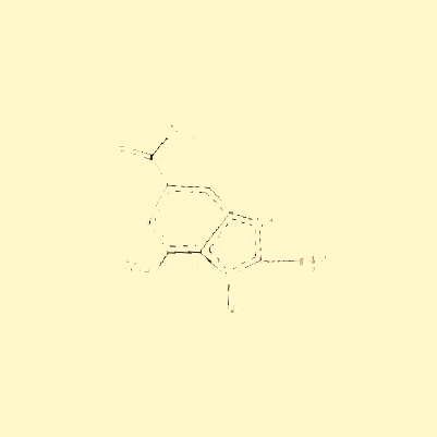 CCCn1c(NC)nc2cc(C(N)=O)cc(OC)c21